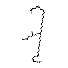 CC/C=C\C/C=C\C/C=C\CCCCCCCCC(CCCCCCCC/C=C\C/C=C\CCCCC)COC(=O)CCNC